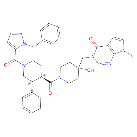 Cn1ccc2c(=O)n(CC3(O)CCN(C(=O)[C@@H]4CCN(C(=O)c5cccn5Cc5ccccc5)C[C@H]4c4ccccc4)CC3)cnc21